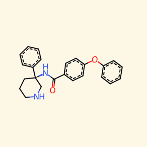 O=C(N[C@]1(c2ccccc2)CCCNC1)c1ccc(Oc2ccccc2)cc1